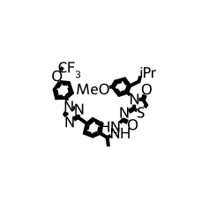 COc1ccc(CC(C)C)c(N2C(=O)CS/C2=N\C(=O)NNC(C)c2ccc(-c3ncn(-c4ccc(OC(F)(F)F)cc4)n3)cc2)c1